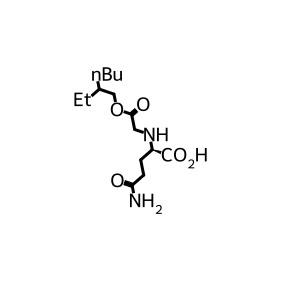 CCCCC(CC)COC(=O)CN[C@H](CCC(N)=O)C(=O)O